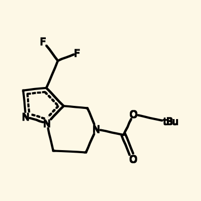 CC(C)(C)OC(=O)N1CCn2ncc(C(F)F)c2C1